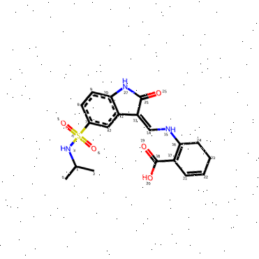 CC(C)NS(=O)(=O)c1ccc2c(c1)/C(=C/NC1=C(C(=O)O)C=CCC1)C(=O)N2